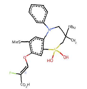 CCCCC1(C)CN(c2ccccc2)c2cc(SC)c(O/C=C(\F)C(=O)O)cc2S(O)(O)C1